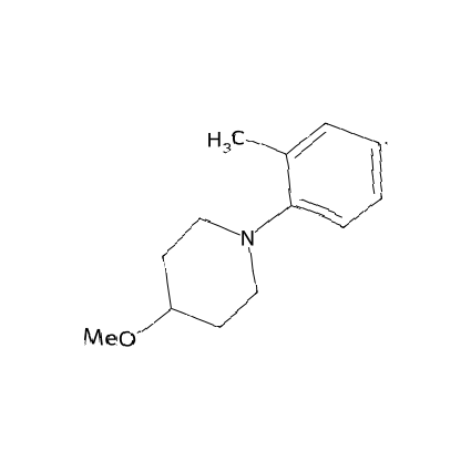 COC1CCN(c2cc[c]cc2C)CC1